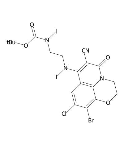 CC(C)(C)OC(=O)N(I)CCN(I)c1c(C#N)c(=O)n2c3c(c(Br)c(Cl)cc13)OCC2